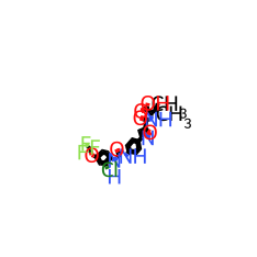 CC(C)C(NC(=O)c1cc(-c2ccc(NC(=O)Nc3ccc(OC(F)(F)F)cc3Cl)cc2)no1)C(=O)O